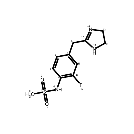 CS(=O)(=O)Nc1ccc(CC2=NCCN2)cc1F